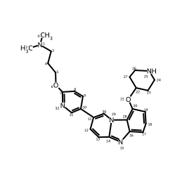 CN(C)CCCOc1ccc(-c2ccc3nc4cccc(OC5CCNCC5)c4n3c2)cn1